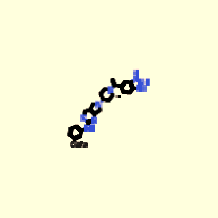 C=C(c1ccc2c(c1)NNN2)N1CC[C@@H](N2Cc3cnc(Nc4cccc(OC)c4)nc3C2)C[C@H]1C